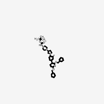 CC(C)(C)OC(=O)NN1CCN(C2CCN(c3ccc(-c4ccc(OCc5ccccc5)nc4OCc4ccccc4)cc3F)C2)CC1